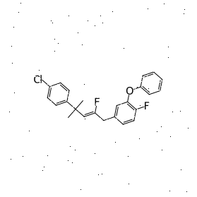 CC(C)(/C=C(\F)Cc1ccc(F)c(Oc2ccccc2)c1)c1ccc(Cl)cc1